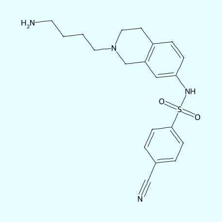 N#Cc1ccc(S(=O)(=O)Nc2ccc3c(c2)CN(CCCCN)CC3)cc1